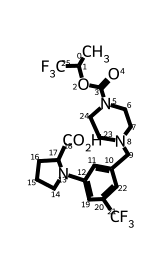 CC(OC(=O)N1CCN(Cc2cc(N3CCCC3C(=O)O)cc(C(F)(F)F)c2)CC1)C(F)(F)F